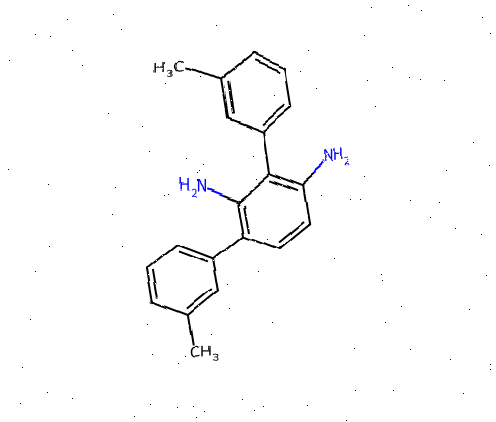 Cc1cccc(-c2ccc(N)c(-c3cccc(C)c3)c2N)c1